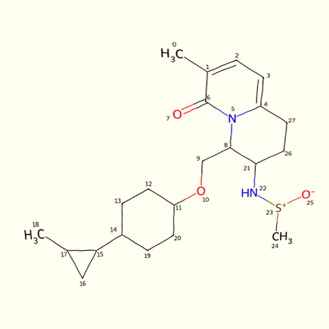 Cc1ccc2n(c1=O)C(COC1CCC(C3CC3C)CC1)C(N[S+](C)[O-])CC2